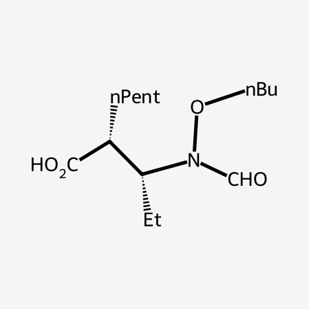 CCCCC[C@@H](C(=O)O)[C@@H](CC)N(C=O)OCCCC